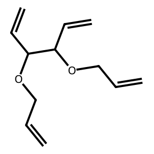 C=CCOC(C=C)C(C=C)OCC=C